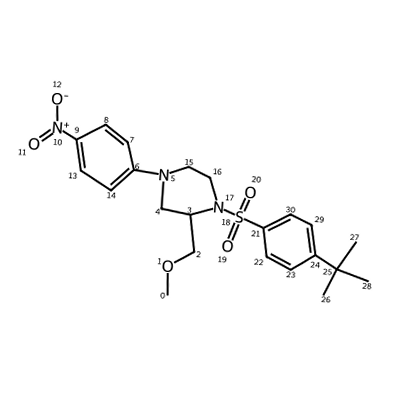 COCC1CN(c2ccc([N+](=O)[O-])cc2)CCN1S(=O)(=O)c1ccc(C(C)(C)C)cc1